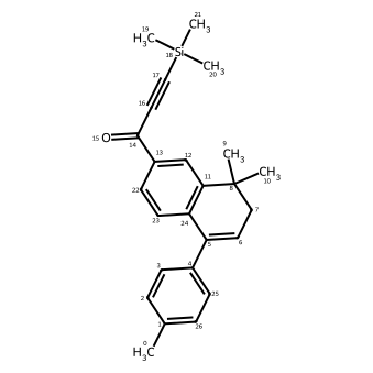 Cc1ccc(C2=CCC(C)(C)c3cc(C(=O)C#C[Si](C)(C)C)ccc32)cc1